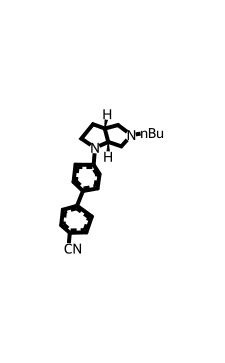 CCCCN1C[C@H]2CCN(c3ccc(-c4ccc(C#N)cc4)cc3)[C@H]2C1